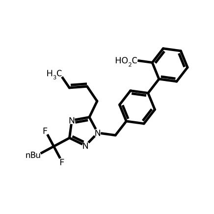 C/C=C/Cc1nc(C(F)(F)CCCC)nn1Cc1ccc(-c2ccccc2C(=O)O)cc1